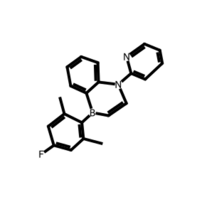 Cc1cc(F)cc(C)c1B1C=CN(c2ccccn2)c2ccccc21